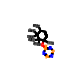 O=CC1C=CC(C=O)(O[PH]2=NP=NP=N2)C(C=O)(C=O)C1(C=O)C=O